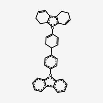 C1=Cc2c(c3c(n2C2=CCC(c4ccc(-n5c6ccccc6c6ccccc65)cc4)C=C2)CCC=C3)CC1